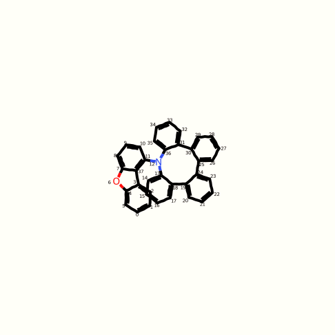 c1ccc2c(c1)oc1cccc(-n3c4ccccc4c4ccccc4c4ccccc4c4ccccc43)c12